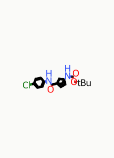 CC(C)(C)OC(=O)NC12CCC(C(=O)Nc3ccc(Cl)cc3)(C1)C2